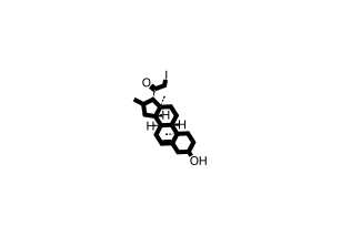 CC1C[C@H]2[C@@H]3CC=C4CC(O)CC[C@]4(C)[C@H]3CC[C@]2(C)[C@H]1C(=O)CI